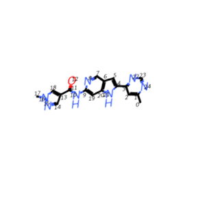 Cc1cc(-c2cc3cnc(NC(=O)c4cnn(C)c4)cc3[nH]2)ncn1